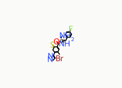 CC1=C(c2c(Br)cnn2C)CC(=S)C(C(=O)N[C@H](CN)Cc2ccc(F)cc2)=C1